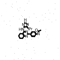 Cc1nc2ccc(-c3nc4c(c(Nc5n[nH]nc5C(C)C)n3)CCCC4)cc2o1